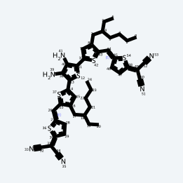 CCCCC(CC)Cc1cc(-c2sc(-c3cc(CC(CC)CCCC)c(/C=c4\ccc(=C(C#N)C#N)s4)s3)c(N)c2N)sc1/C=c1\ccc(=C(C#N)C#N)s1